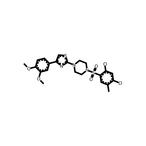 COc1ccc(-c2csc(N3CCN(S(=O)(=O)c4cc(C)c(Cl)cc4Cl)CC3)n2)cc1OC